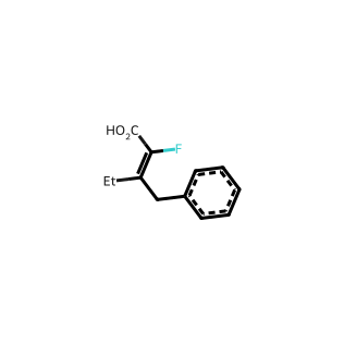 CCC(Cc1ccccc1)=C(F)C(=O)O